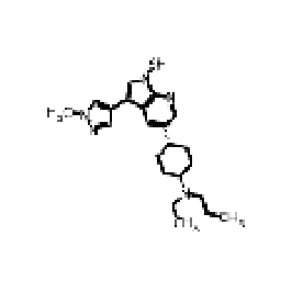 CCCN(CC)[C@H]1CC[C@H](c2cnc3c(c2)c(-c2cnn(C)c2)cn3S)CC1